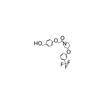 O=C(COc1ccc(CO)cc1)N1CCC(Oc2cccc(C(F)(F)F)c2)C1